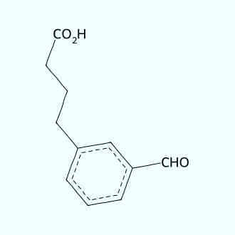 O=Cc1cccc(CCCC(=O)O)c1